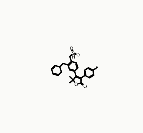 CC1(C)OC(=O)C(c2ccc(F)cc2)=C1c1ccc(C[SH](=O)=O)c(CC2C=CC=CC2)c1